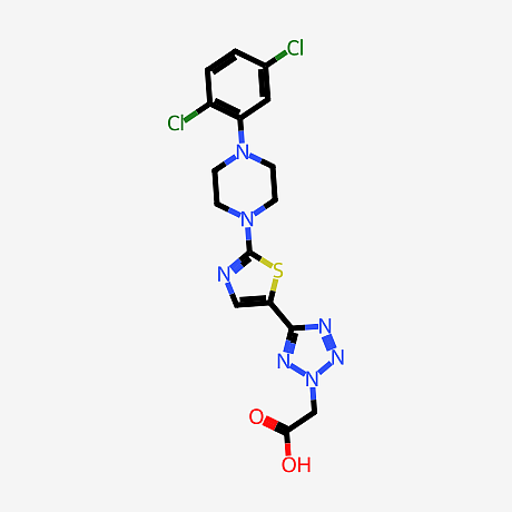 O=C(O)Cn1nnc(-c2cnc(N3CCN(c4cc(Cl)ccc4Cl)CC3)s2)n1